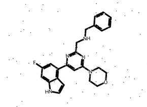 Fc1cc(-c2cc(N3CCOCC3)nc(CNCc3ccccc3)n2)c2cc[nH]c2c1